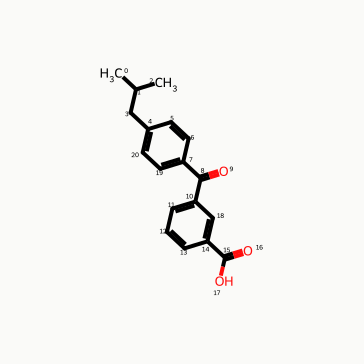 CC(C)Cc1ccc(C(=O)c2cccc(C(=O)O)c2)cc1